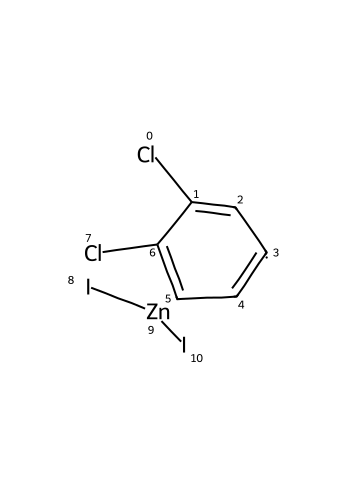 Clc1c[c]ccc1Cl.[I][Zn][I]